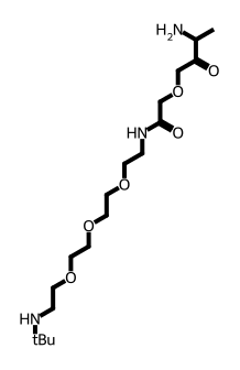 CC(N)C(=O)COCC(=O)NCCOCCOCCOCCNC(C)(C)C